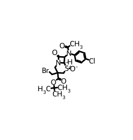 CC(=O)N(c1ccc(Cl)cc1)C1C(=O)N2CC(CBr)(C(=O)OC(C)(C)C)C[S+]([O-])[C@H]12